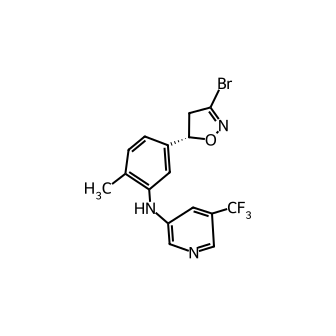 Cc1ccc([C@@H]2CC(Br)=NO2)cc1Nc1cncc(C(F)(F)F)c1